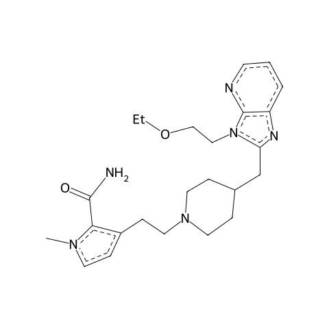 CCOCCn1c(CC2CCN(CCc3ccn(C)c3C(N)=O)CC2)nc2cccnc21